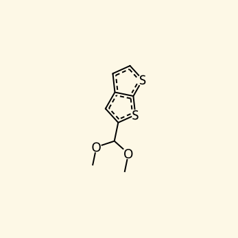 COC(OC)c1cc2ccsc2s1